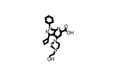 O=C(O)c1cc(N2CCN(CCO)CC2)c2c(C3CCC3)nn(-c3ccccc3)c2n1